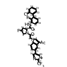 CC(=O)c1cn(CC(=O)N2CC(F)C[C@H]2C(=O)Nc2cccc(-c3ccccc3Cl)c2F)c2ccc(-c3cnc(C(F)(F)F)nc3)cc12